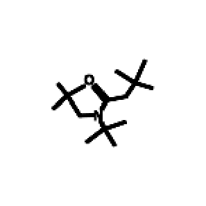 CC(C)(C)CC(=O)N(CC(C)(C)C)C(C)(C)C